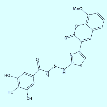 COc1cccc2cc(-c3csc(NSNC(=O)c4cc(O)c(O)c(O)c4)n3)c(=O)oc12